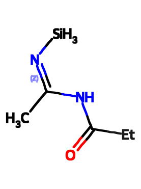 CCC(=O)N/C(C)=N\[SiH3]